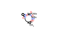 COC(=O)[C@@H]1C[C@@H]2CN1C(=O)[C@H](C(C)(C)C)NC(=O)O[C@@H]1C[C@H](C)C[C@H]1CCCCCn1c(nc3ccccc3c1=O)O2